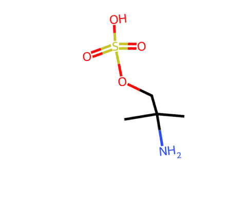 CC(C)(N)COS(=O)(=O)O